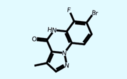 Cc1cnn2c1c(=O)[nH]c1c(F)c(Br)ccc12